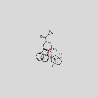 Cc1nc2ccccc2n1[C@@H]1C[C@H]2CC[C@@H](C1)N2CCC1(c2ccccc2)CCN(C(=O)C2CC2)CC1